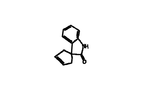 O=C1Nc2ccccc2C12CC=CC2